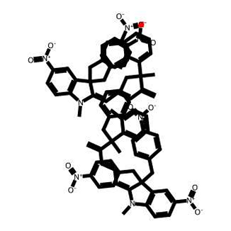 C=C(/C=C/C=C1/N(C)c2ccc([N+](=O)[O-])cc2C1(Cc1ccc([N+](=O)[O-])cc1)Cc1ccc([N+](=O)[O-])cc1)C(C)(Cc1ccc(CC(C)(C(=C)/C=C/C=C2/N(C)c3ccc([N+](=O)[O-])cc3C2(Cc2ccc([N+](=O)[O-])cc2)Cc2ccc([N+](=O)[O-])cc2)c2ccccc2C)cc1)c1ccccc1C